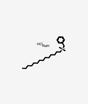 CCCCCCCCCCCCCC[N+](C)(C)Cc1ccccc1.Cl.[NaH]